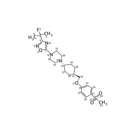 CC(C)(F)c1noc(N2CCN([C@H]3CC[C@H](COc4ccc(S(C)(=O)=O)cc4)CC3)CC2)n1